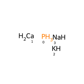 P.[CaH2].[KH].[NaH]